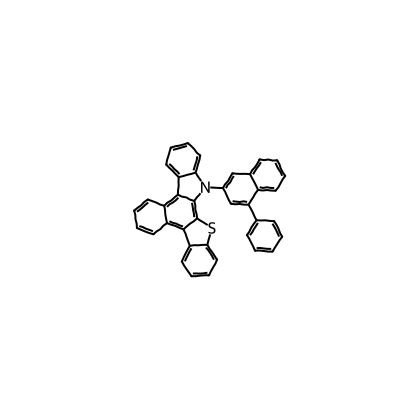 c1ccc(-c2cc(-n3c4ccccc4c4c5ccccc5c5c6ccccc6sc5c43)cc3ccccc23)cc1